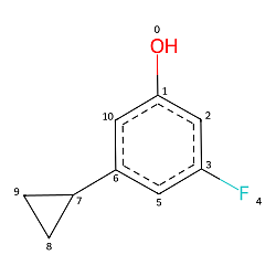 Oc1cc(F)cc(C2CC2)c1